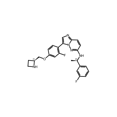 C[C@@H](Nc1ccc2ncc(-c3ccc(OC[C@@H]4CCN4)cc3F)n2n1)c1cccc(F)c1